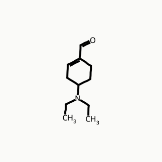 CCN(CC)C1CC=C(C=O)CC1